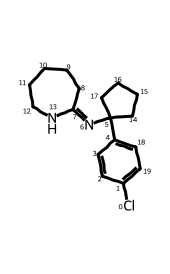 Clc1ccc(C2(N=C3CCCCCN3)CCCC2)cc1